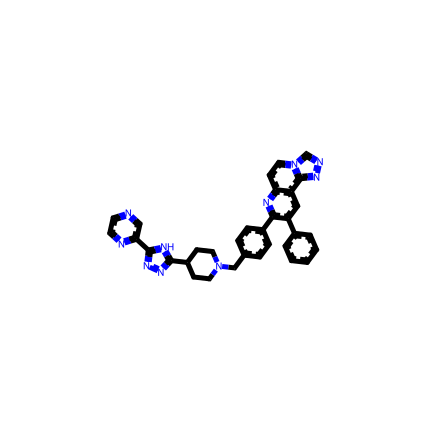 c1ccc(-c2cc3c(ccn4cnnc34)nc2-c2ccc(CN3CCC(c4nnc(-c5cnccn5)[nH]4)CC3)cc2)cc1